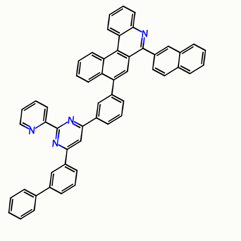 c1ccc(-c2cccc(-c3cc(-c4cccc(-c5cc6c(-c7ccc8ccccc8c7)nc7ccccc7c6c6ccccc56)c4)nc(-c4ccccn4)n3)c2)cc1